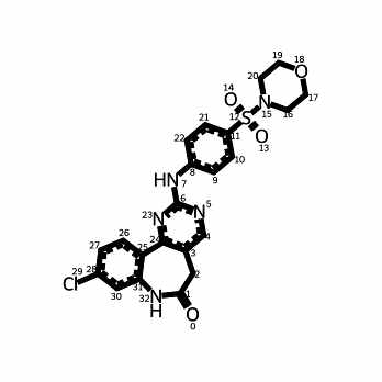 O=C1Cc2cnc(Nc3ccc(S(=O)(=O)N4CCOCC4)cc3)nc2-c2ccc(Cl)cc2N1